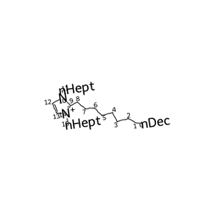 CCCCCCCCCCCCCCCCCCc1n(CCCCCCC)cc[n+]1CCCCCCC